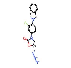 [N-]=[N+]=NC[C@H]1CN(c2ccc(N3Cc4ccccc4C3)c(F)c2)C(=O)O1